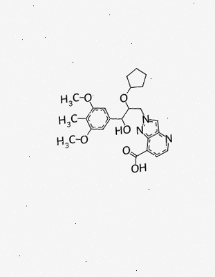 COc1cc(C(O)C(Cn2cc3nccc(C(=O)O)c3n2)OC2CCCC2)cc(OC)c1C